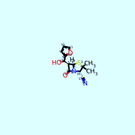 CC1(C)S[C@@H]2[C@H](C(O)c3ccco3)C(=O)N2[C@H]1C#N